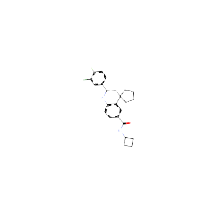 O=C(NC1CCC1)c1ccc2c(c1)C1(CCCC1)CC(c1ccc(F)c(Cl)c1)N2